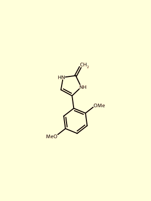 C=C1NC=C(c2cc(OC)ccc2OC)N1